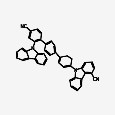 N#Cc1ccc(-c2ccc(C3=CC=C(n4c5ccccc5c5c(C#N)cccc54)CC3)cc2)c(-n2c3ccccc3c3ccccc32)c1